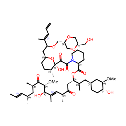 C=C/C=C(\C)C(C[C@@H]1CC[C@@H](C)[C@](O)(C(=O)C(=O)N2CCCC[C@H]2C(=O)O[C@@H](CC(=O)[C@H](C)/C=C(\C)[C@@H](O)[C@@H](OC)C(=O)[C@H](C)C[C@H](C)/C=C/C)[C@H](C)C[C@@H]2CC[C@@H](O)[C@H](OC)C2)O1)OC[C@H]1CO[C@@H](CO)CO1